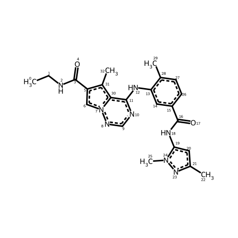 CCNC(=O)c1cn2ncnc(Nc3cc(C(=O)Nc4cc(C)nn4C)ccc3C)c2c1C